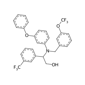 OCC(c1cccc(C(F)(F)F)c1)N(Cc1cccc(OC(F)(F)F)c1)c1cccc(Oc2ccccc2)c1